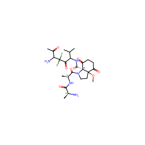 COC12CCN(C(=O)[C@H](C)NC(=O)[C@H](C)N)[C@@]1(C(=O)NC(C(=O)C(F)(F)C(N)C(C)=O)C(C)C)C(=O)CCC2=O